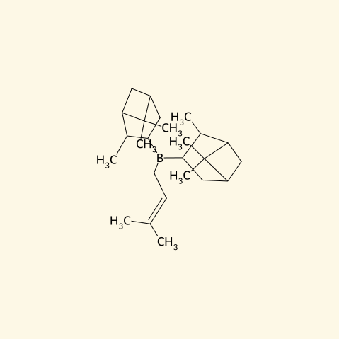 CC(C)=CCB(C1CC2CC(C1C)C2(C)C)C1CC2CC(C1C)C2(C)C